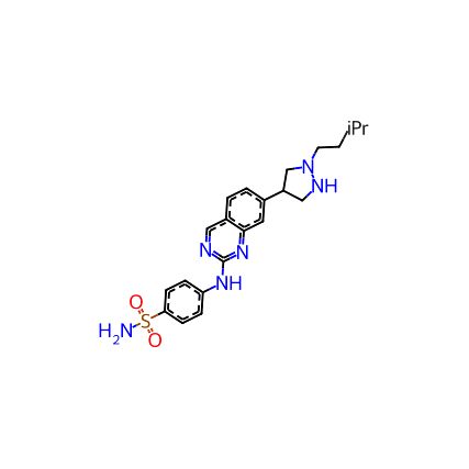 CC(C)CCN1CC(c2ccc3cnc(Nc4ccc(S(N)(=O)=O)cc4)nc3c2)CN1